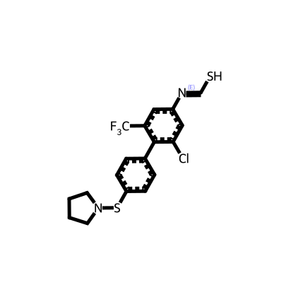 FC(F)(F)c1cc(/N=C/S)cc(Cl)c1-c1ccc(SN2CCCC2)cc1